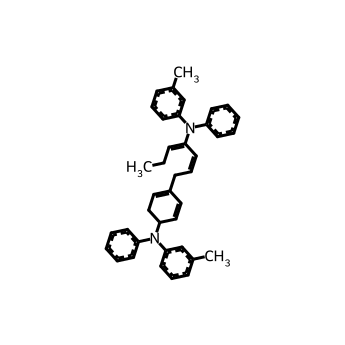 CC/C=C(\C=C/CC1=CCC(N(c2ccccc2)c2cccc(C)c2)C=C1)N(c1ccccc1)c1cccc(C)c1